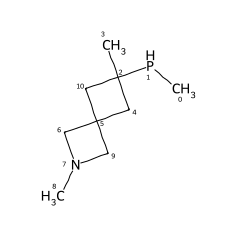 CPC1(C)CC2(CN(C)C2)C1